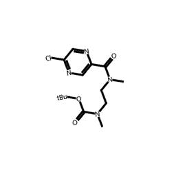 CN(CCN(C)C(=O)c1cnc(Cl)cn1)C(=O)OC(C)(C)C